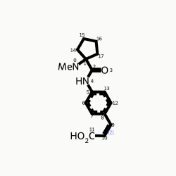 CNC1(C(=O)Nc2ccc(/C=C\C(=O)O)cc2)CCCC1